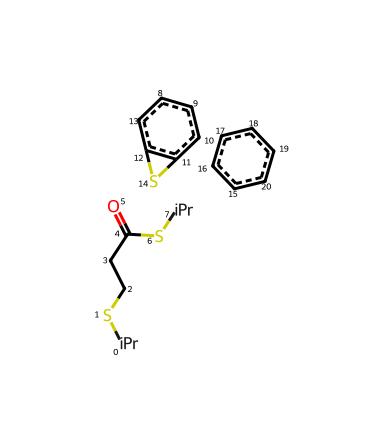 CC(C)SCCC(=O)SC(C)C.c1ccc2c(c1)S2.c1ccccc1